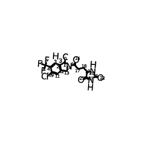 CC1c2cc(C(F)(F)F)c(Cl)cc2CN1C(=O)CCC1NC(=O)NC1=O